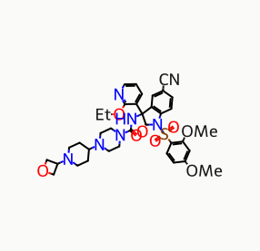 CCOc1ncccc1C1(NC(=O)N2CCN(C3CCN(C4COC4)CC3)CC2)C(=O)N(S(=O)(=O)c2ccc(OC)cc2OC)c2ccc(C#N)cc21